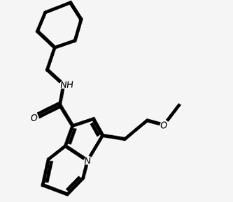 COCCc1cc(C(=O)NCC2CCCCC2)c2ccccn12